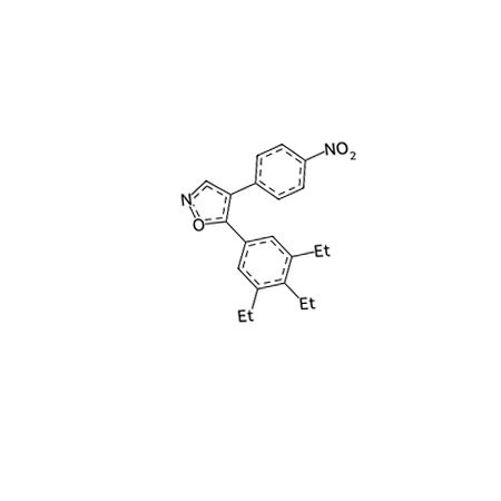 CCc1cc(-c2oncc2-c2ccc([N+](=O)[O-])cc2)cc(CC)c1CC